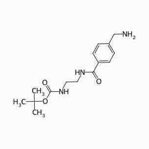 CC(C)(C)OC(=O)NCCNC(=O)c1ccc(CN)cc1